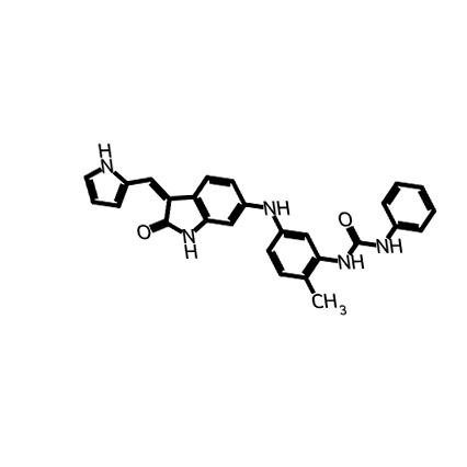 Cc1ccc(Nc2ccc3c(c2)NC(=O)/C3=C\c2ccc[nH]2)cc1NC(=O)Nc1ccccc1